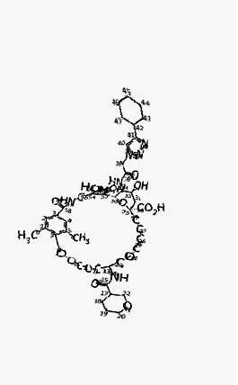 Cc1cc2cc(C)c1OCCOCC(NC(=O)C1CCCOC1)COCCCC[C@]1(C(=O)O)C[C@H](O)C(NC(=O)Cn3cc(C4CCCCC4)nn3)C(O1)[C@H](O)[C@H](O)CNC2=O